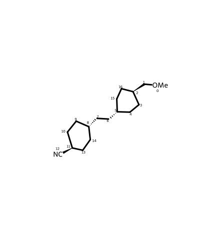 COC[C@H]1CC[C@H](CC[C@H]2CC[C@H](C#N)CC2)CC1